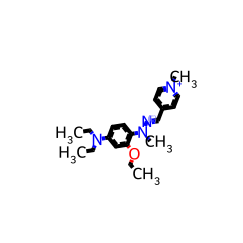 CCOc1cc(N(CC)CC)ccc1N(C)/N=C/c1cc[n+](C)cc1